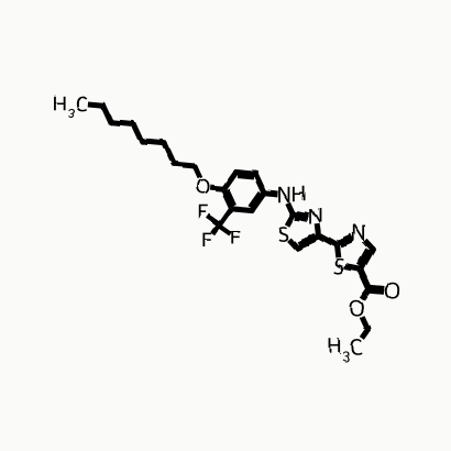 CCCCCCCCOc1ccc(Nc2nc(-c3ncc(C(=O)OCC)s3)cs2)cc1C(F)(F)F